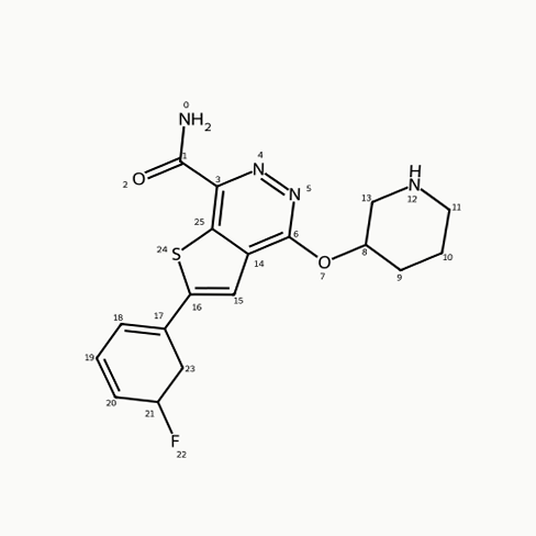 NC(=O)c1nnc(OC2CCCNC2)c2cc(C3=CC=CC(F)C3)sc12